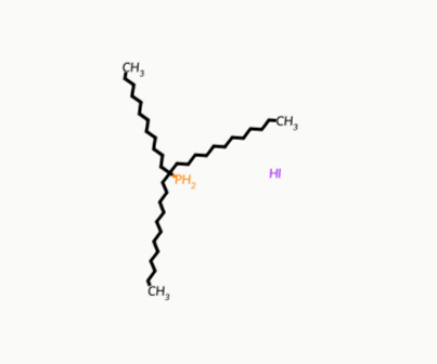 CCCCCCCCCCCCC(P)(CCCCCCCCCCCC)CCCCCCCCCCCC.I